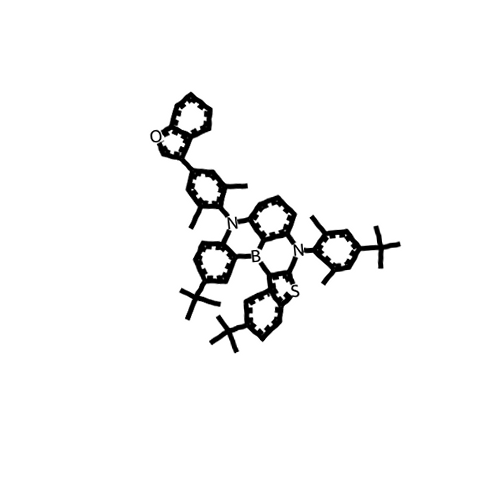 Cc1cc(-c2coc3ccccc23)cc(C)c1N1c2ccc(C(C)(C)C)cc2B2c3c1cccc3N(c1c(C)cc(C(C)(C)C)cc1C)c1sc3ccc(C(C)(C)C)cc3c12